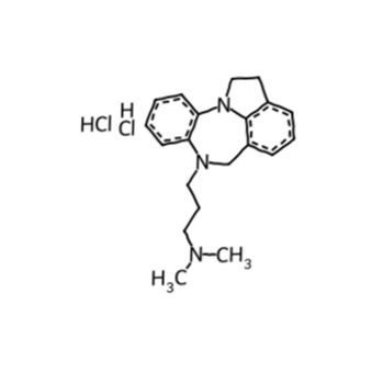 CN(C)CCCN1Cc2cccc3c2N(CC3)c2ccccc21.Cl.Cl